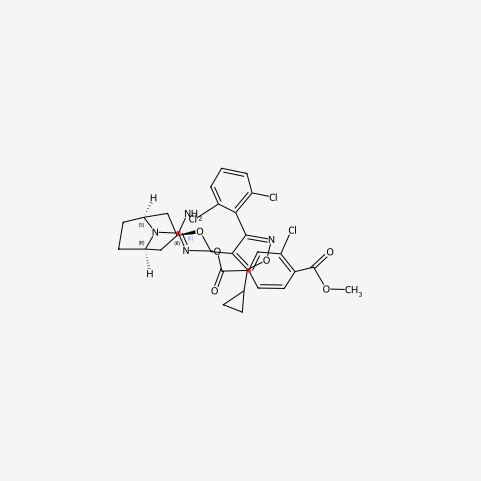 COC(=O)c1ccc(C(=O)O/N=C(\N)N2[C@@H]3CC[C@H]2C[C@@H](OCc2c(-c4c(Cl)cccc4Cl)noc2C2CC2)C3)cc1Cl